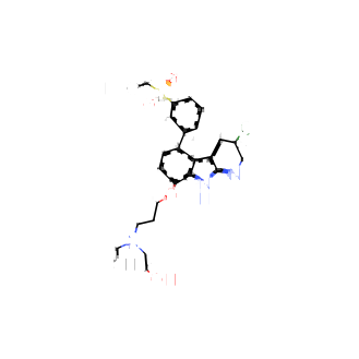 CCN(CCO)CCCOc1ccc(-c2cccc(S(=O)(=O)CC)c2)c2c3c([nH]c12)=NCC(Cl)C=3